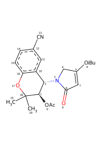 CC(=O)O[C@@H]1[C@@H](N2CC(OCC(C)C)=CC2=O)c2cc(C#N)ccc2OC1(C)C